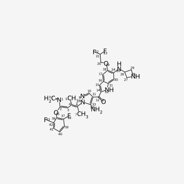 C=N/C(=C\C(C)=C(/C)n1ncc(C(=O)c2cc3cc(OCC(F)F)c(NC4CNC4)cc3[nH]2)c1N)Oc1c(F)cccc1F